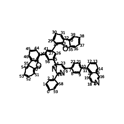 c1ccc(-c2nc(-c3ccc(-c4cccc5cnccc45)cc3)cc(-c3cc(-c4cccc5c4oc4ccccc45)cc(-c4cccc5c4oc4ccccc45)c3)n2)cc1